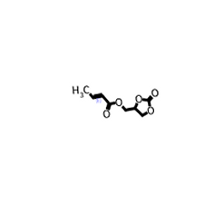 C/C=C/C(=O)OCC1COC(=O)O1